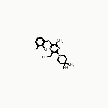 Cc1nc(N2CCC(C)(N)CC2)c(CO)nc1Sc1cccc(Cl)c1Cl